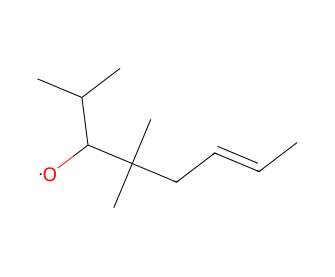 CC=CCC(C)(C)C([O])C(C)C